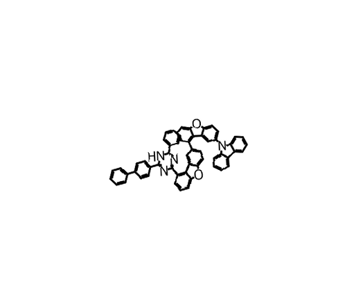 c1ccc(-c2ccc(C3=NC(c4cccc5oc6ccc(-c7cccc8oc9ccc(-n%10c%11ccccc%11c%11ccccc%11%10)cc9c78)cc6c45)=NC(c4ccccc4)N3)cc2)cc1